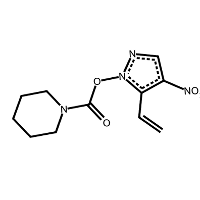 C=Cc1c([N+](=O)[O-])cnn1OC(=O)N1CCCCC1